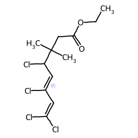 CCOC(=O)CC(C)(C)C(Cl)/C=C(\Cl)C=C(Cl)Cl